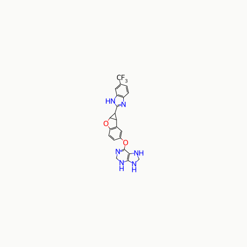 FC(F)(F)c1ccc2nc(C3C4Oc5ccc(OC6=NCNC7=C6NCN7)cc5C43)[nH]c2c1